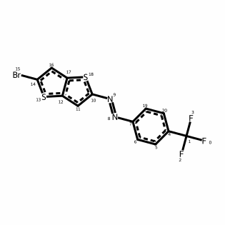 FC(F)(F)c1ccc(N=Nc2cc3sc(Br)cc3s2)cc1